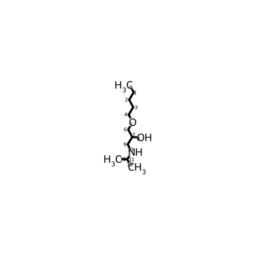 CCCCCOCC(O)CNC(C)C